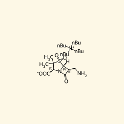 CC1(C)[C@H](C(=O)[O-])N2C(=O)[C@H](CN)[C@H]2S1(=O)=O.CCCC[N+](CCCC)(CCCC)CCCC